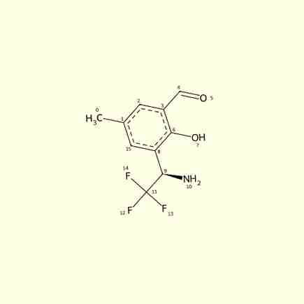 Cc1cc(C=O)c(O)c([C@@H](N)C(F)(F)F)c1